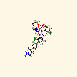 CN1CCC(c2ccc(-c3ccc4c(c3F)C(=O)N(C(C3=NC5C=CC=CC5N3)c3cc(F)ccc3O)C4)cc2)CC1